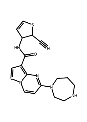 N#CC1SC=CC1NC(=O)c1cnn2ccc(N3CCCNCC3)nc12